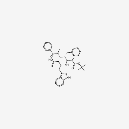 CC(C(=O)OC(C)(C)C)N(N[C@H](CC(=O)O)Cc1c[nH]c2ccccc12)[C@@H](Cc1ccccc1)CN(C)C(=O)c1ccccc1